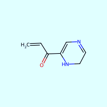 C=CC(=O)C1=CN=CCN1